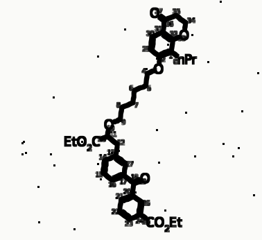 CCCc1c(OCCCCCCOC(Cc2cccc(C(=O)c3cccc(C(=O)OCC)c3)c2)C(=O)OCC)ccc2c1OCCC2=O